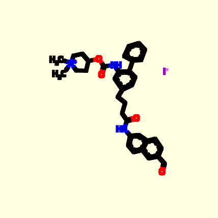 C[N+]1(C)CCC(OC(=O)Nc2cc(CCCC(=O)Nc3ccc4cc(C=O)ccc4c3)ccc2-c2ccccc2)CC1.[I-]